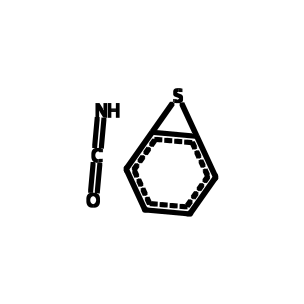 N=C=O.c1ccc2c(c1)S2